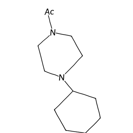 [CH2]C(=O)N1CCN(C2CCCCC2)CC1